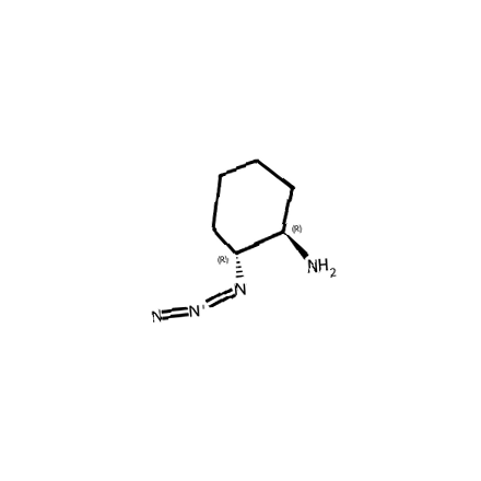 [N-]=[N+]=N[C@@H]1CCCC[C@H]1N